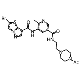 CC(=O)N1CCN(CCNC(=O)c2cnc(C)c(NC(=O)c3cnn4cc(Br)sc34)c2)CC1